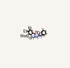 CCCN(C/C(C)=C/c1ccccc1)C(=O)c1cc(CC)c(CC)c(OC)c1